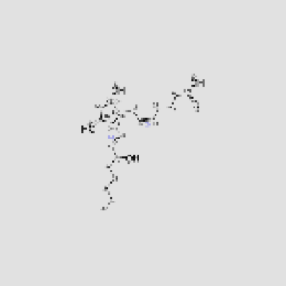 CCCCCC(O)/C=C/[C@H]1[C@@H](C/C=C\CCCC(=O)O)[C@@H](O)C[C@H]1O